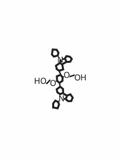 OCCOc1cc(-c2ccc3c(c2)c2ccccc2n3-c2ccccc2)c(OCCO)cc1-c1ccc2c(c1)c1ccccc1n2-c1ccccc1